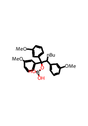 CCCCC(c1cccc(OC)c1)C(OB(O)O)(c1cccc(OC)c1)c1cccc(OC)c1